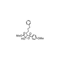 COC(=O)C(C)(O)C(CCCCc1ccccc1)S(=O)(=O)c1ccc(OC)cc1